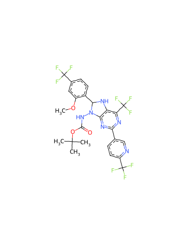 COc1cc(C(F)(F)F)ccc1C1Nc2c(nc(-c3ccc(C(F)(F)F)nc3)nc2C(F)(F)F)N1NC(=O)OC(C)(C)C